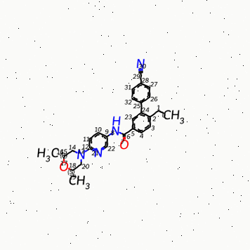 CCc1ccc(C(=O)Nc2ccc(N3C[C@@H](C)O[C@@H](C)C3)nc2)cc1-c1ccc(C#N)cc1